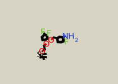 CC(C)(C)[Si](C)(C)OCCOc1ccc(F)c(F)c1OCc1ccc(F)c(N)c1